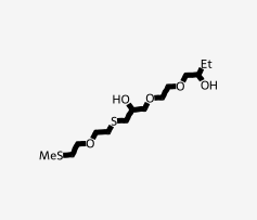 CCC(O)COCCOCC(O)CSCCOCCSC